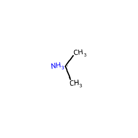 C[CH]C.N